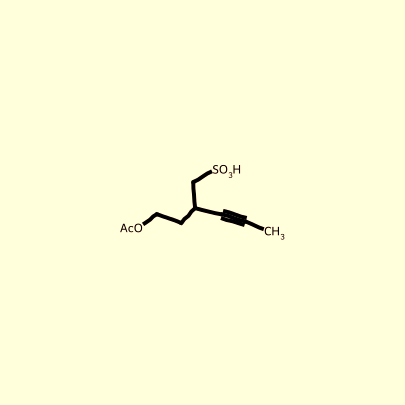 CC#CC(CCOC(C)=O)CS(=O)(=O)O